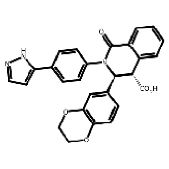 O=C(O)[C@H]1c2ccccc2C(=O)N(c2ccc(-c3ccn[nH]3)cc2)[C@@H]1c1ccc2c(c1)OCCO2